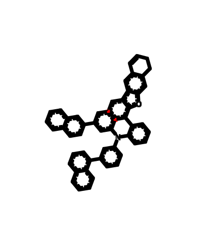 C1=Cc2cc3c(cc2CC1)oc1c(-c2ccccc2N(c2cccc(-c4ccc5ccccc5c4)c2)c2cccc(-c4cccc5ccccc45)c2)cccc13